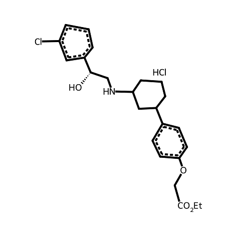 CCOC(=O)COc1ccc(C2CCCC(NC[C@H](O)c3cccc(Cl)c3)C2)cc1.Cl